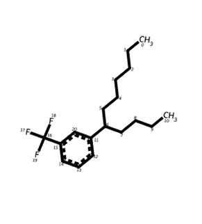 CCCCCCC(CCCC)c1cccc(C(F)(F)F)c1